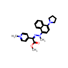 COC(=O)/C(=N\N(C)c1ccc(N2CCCC2)c2ccccc12)c1cc[n+](C)cc1